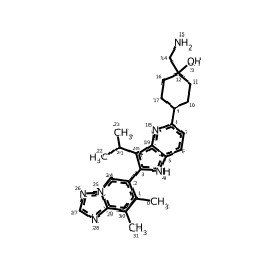 Cc1c(-c2[nH]c3ccc(C4CCC(O)(CN)CC4)nc3c2C(C)C)cn2ncnc2c1C